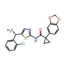 C[C@@H](c1cnc(NC(=O)C2(c3ccc4c(c3)OCO4)CC2)s1)c1ccccc1Cl